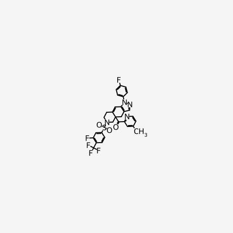 Cc1ccnc(C(=O)C23Cc4cnn(-c5ccc(F)cc5)c4C=C2CCN(S(=O)(=O)c2ccc(C(F)(F)F)c(F)c2)C3)c1